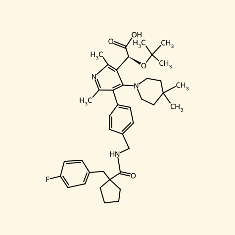 Cc1nc(C)c([C@H](OC(C)(C)C)C(=O)O)c(N2CCC(C)(C)CC2)c1-c1ccc(CNC(=O)C2(Cc3ccc(F)cc3)CCCC2)cc1